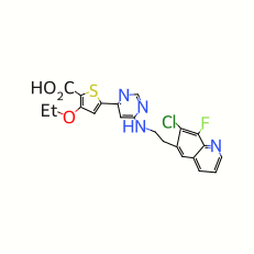 CCOc1cc(-c2cc(NCCc3cc4cccnc4c(F)c3Cl)ncn2)sc1C(=O)O